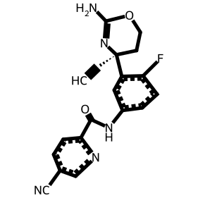 C#C[C@@]1(c2cc(NC(=O)c3ccc(C#N)cn3)ccc2F)CCOC(N)=N1